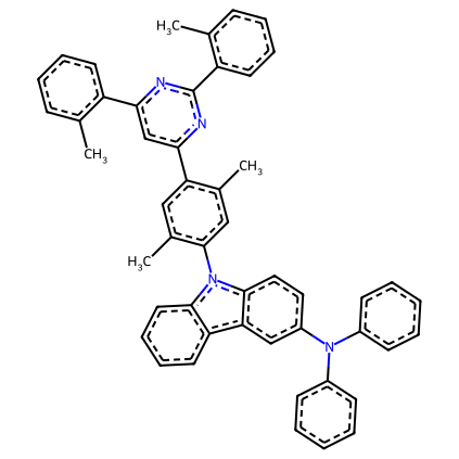 Cc1ccccc1-c1cc(-c2cc(C)c(-n3c4ccccc4c4cc(N(c5ccccc5)c5ccccc5)ccc43)cc2C)nc(-c2ccccc2C)n1